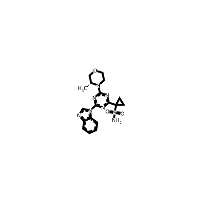 C[C@@H]1COCCN1c1nc(-n2cnc3ccccc32)nc(C2(S(N)(=O)=O)CC2)n1